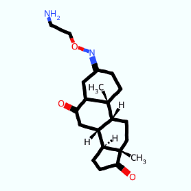 C[C@]12CC/C(=N/OCCN)CC1C(=O)C[C@@H]1[C@H]2CC[C@]2(C)C(=O)CC[C@@H]12